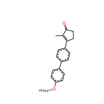 CCCCCCOc1ccc(-c2ccc(C3=C(C)C(=O)CC3)cc2)cc1